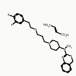 CN(C1=Nc2ccccc2CS1)C1CCN(CCCOCCc2ccc(F)c(F)c2)CC1.O=C(O)/C=C/C(=O)O